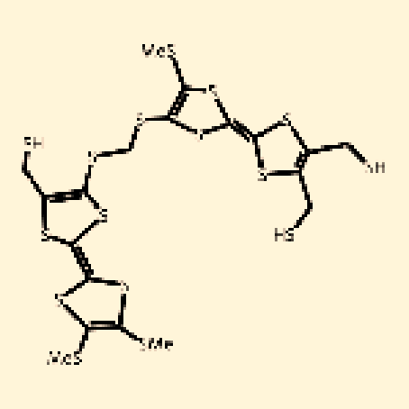 CSC1=C(SC)SC(=C2SC(CS)=C(SCSC3=C(SC)SC(=C4SC(CS)=C(CS)S4)S3)S2)S1